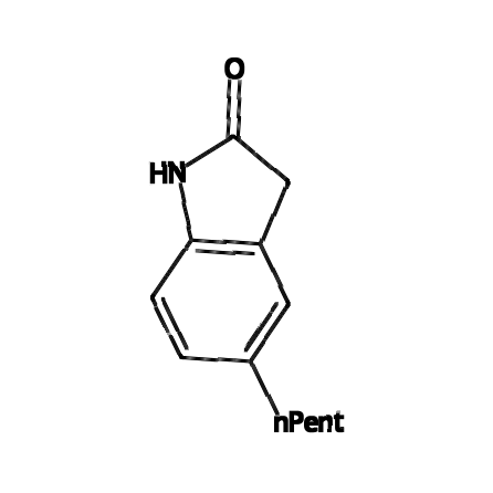 CCCCCc1ccc2c(c1)CC(=O)N2